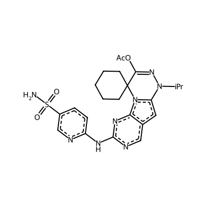 CC(=O)OC1=NN(C(C)C)c2cc3cnc(Nc4ccc(S(N)(=O)=O)cn4)nc3n2C12CCCCC2